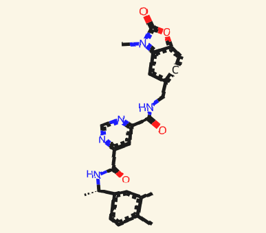 Cc1ccc([C@H](C)NC(=O)c2cc(C(=O)NCc3ccc4oc(=O)n(C)c4c3)ncn2)cc1C